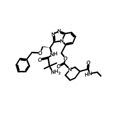 CCNC(=O)C1CCCN(C(=O)OCc2cccc3nnc([C@@H](COCc4ccccc4)NC(=O)C(C)(C)N)n23)C1